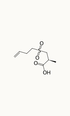 C=CCCS(=O)(=O)C[C@@H](C)C(=O)O